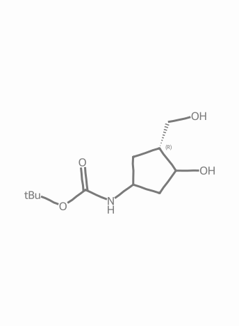 CC(C)(C)OC(=O)NC1CC(O)[C@@H](CO)C1